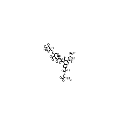 CN1NC(=O)C(=O)NC1SCC1=C(C(=O)[O-])N2C(=O)[C@@H](NC(=O)[C@H](NC(=O)N3CCNC3=O)c3ccc(NC(=O)OC[C@@H](N)C(=O)[O-])cc3)[C@@H]2SC1.[Na+].[Na+]